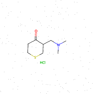 CN(C)CC1CSCCC1=O.Cl